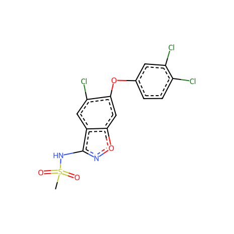 CS(=O)(=O)Nc1noc2cc(Oc3ccc(Cl)c(Cl)c3)c(Cl)cc12